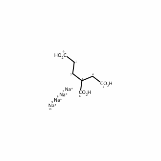 O=C(O)CCC(CC(=O)O)C(=O)O.[Na+].[Na+].[Na+].[Na+]